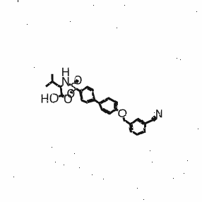 CC(C)C(NS(=O)(=O)c1ccc(-c2ccc(OCc3cccc(C#N)c3)cc2)cc1)C(=O)O